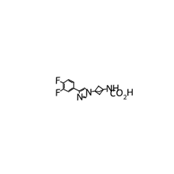 O=C(O)NC12CC(n3cnc(-c4ccc(F)c(F)c4)c3)(C1)C2